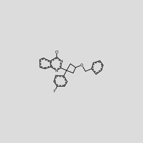 Fc1ccc(C2(c3nc(Cl)c4ccccc4n3)CC(OCc3ccccc3)C2)cc1